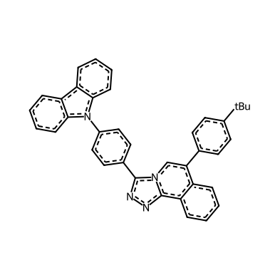 CC(C)(C)c1ccc(-c2cn3c(-c4ccc(-n5c6ccccc6c6ccccc65)cc4)nnc3c3ccccc23)cc1